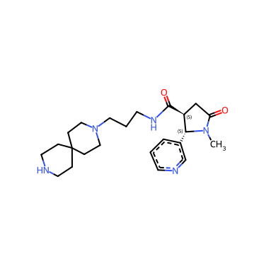 CN1C(=O)C[C@H](C(=O)NCCCN2CCC3(CCNCC3)CC2)[C@H]1c1cccnc1